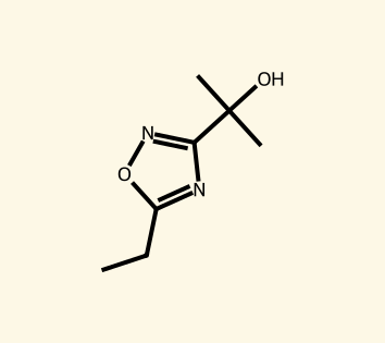 CCc1nc(C(C)(C)O)no1